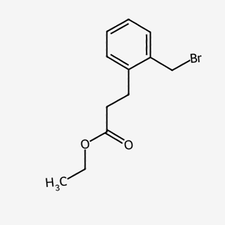 CCOC(=O)CCc1ccccc1CBr